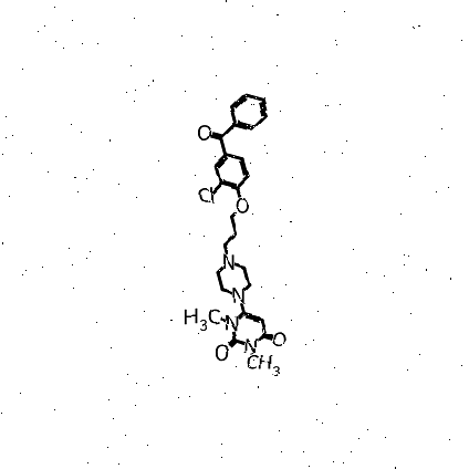 Cn1c(N2CCN(CCCOc3ccc(C(=O)c4ccccc4)cc3Cl)CC2)cc(=O)n(C)c1=O